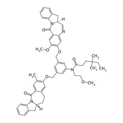 CCC(C)(C)CCC(=O)N(CCOC)c1cc(COc2cc3c(cc2C)C(=O)N2c4ccccc4C[C@H]2CC3)cc(COc2cc3c(cc2OC)C(=O)N2c4ccccc4C[C@H]2C=N3)c1